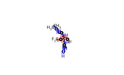 CN(C)C1CCN(c2ncc3cc(NC(=O)C(Oc4ccc(Br)cc4)C(CC(=O)Nc4ccc5nc(N6CCNCC6)ncc5c4)c4ccc(OC(F)(F)F)cc4)ccc3n2)CC1